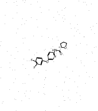 O=C(Nc1ccc(Oc2ccc(F)c(F)c2)cn1)[C@@H]1CCCO1